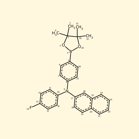 CC1(C)OB(c2ccc(N(c3ccc(F)cc3)c3ccc4ccccc4c3)cc2)OC1(C)C